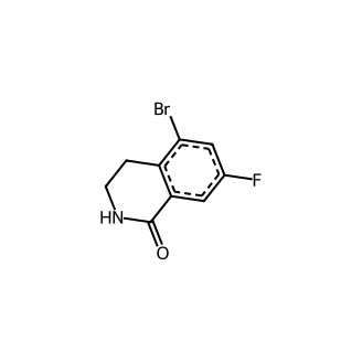 O=C1NCCc2c(Br)cc(F)cc21